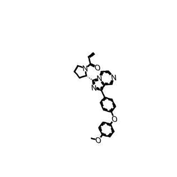 C=CC(=O)N1CCC[C@H]1c1nc(-c2ccc(Oc3ccc(OC)cc3)cc2)c2cnccn12